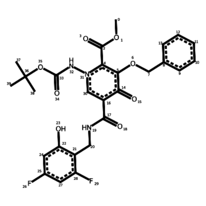 COC(=O)c1c(OCc2ccccc2)c(=O)c(C(=O)NCc2c(O)cc(F)cc2F)cn1NC(=O)OC(C)(C)C